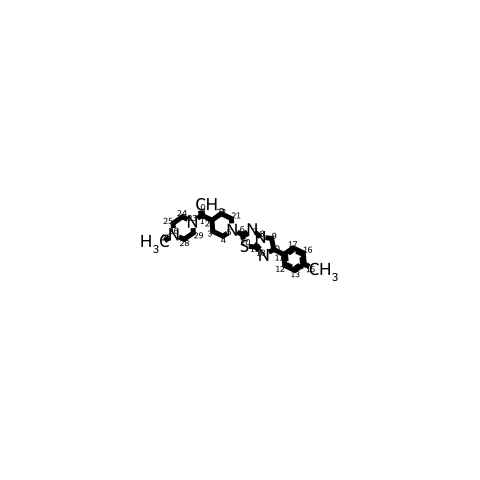 C=C(C1CCN(C2=NN3CC(c4ccc(C)cc4)N=C3S2)CC1)N1CCN(C)CC1